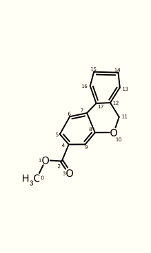 COC(=O)c1ccc2c(c1)OCc1ccccc1-2